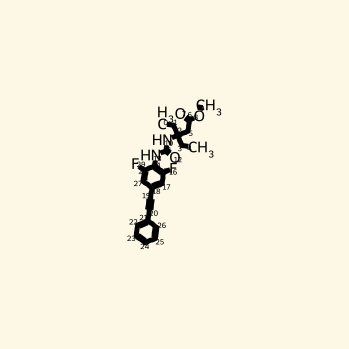 CCC(CC)(CC(=O)OC)NC(=O)Nc1c(F)cc(C#Cc2ccccc2)cc1F